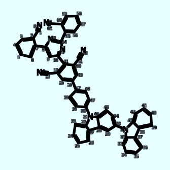 N#Cc1ccccc1-c1cc(-c2c(C#N)cc(-c3ccc(-n4c5ccccc5c5cc(-n6c7ccccc7c7ccccc76)ccc54)cc3)cc2C#N)nc(-c2ccccc2C#N)n1